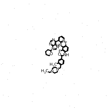 CCN1CCN(Cc2ccc(C(=O)Nc3ccc(F)c(Nc4ncccc4-c4ncnc5c4ncn5C4CCCCO4)c3F)cc2C)CC1